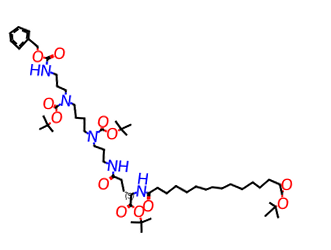 CC(C)(C)OC(=O)[C@H](CCC(=O)NCCCN(CCCCN(CCCNC(=O)OCc1ccccc1)C(=O)OC(C)(C)C)C(=O)OC(C)(C)C)NC(=O)CCCCCCCCCCCCCC1OC1OC(C)(C)C